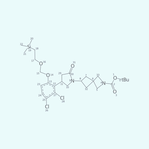 CC(C)(C)OC(=O)N1CC2(CC(N3CC(c4c(OCOCC[Si](C)(C)C)ccc(Cl)c4Cl)CC3=O)C2)C1